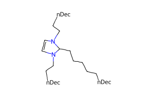 CCCCCCCCCCCCCCCC1N(CCCCCCCCCCCC)C=CN1CCCCCCCCCCCC